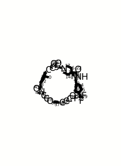 Cc1cc2ccc1CCS(=O)(=O)N1CCC3(CC1)N=C(NC3=O)c1ccc(C(F)(F)F)c(c1)OCCCC=COCCN(C)C2=O